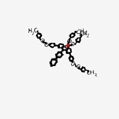 C=Cc1ccc(COCCOc2ccc(-c3ccc(OCCOCc4ccc(C=C)cc4)c(C(c4ccc(-c5ccccc5)cc4)c4cc(-c5ccc(OCCOCc6ccc(C=C)cc6)cc5)ccc4OCCOCc4ccc(C=C)cc4)c3)cc2)cc1